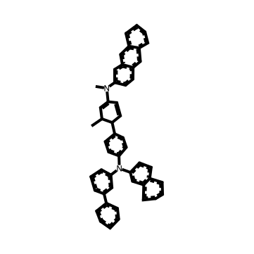 CC1C=C(N(C)c2ccc3cc4ccccc4cc3c2)C=CC1c1ccc(N(c2cccc(-c3ccccc3)c2)c2ccc3ccccc3c2)cc1